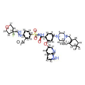 CCCCC1=C(CN2CCN(c3ccc(C(=O)NS(=O)(=O)c4ccc(NCC5(F)CCOCC5)c([N+](=O)[O-])c4)c(Oc4cnc5[nH]ccc5c4)c3)CC2)CCC(C)(C)C1